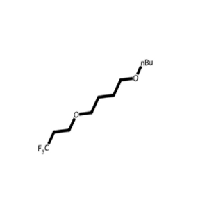 CCCCOCCCCOCCC(F)(F)F